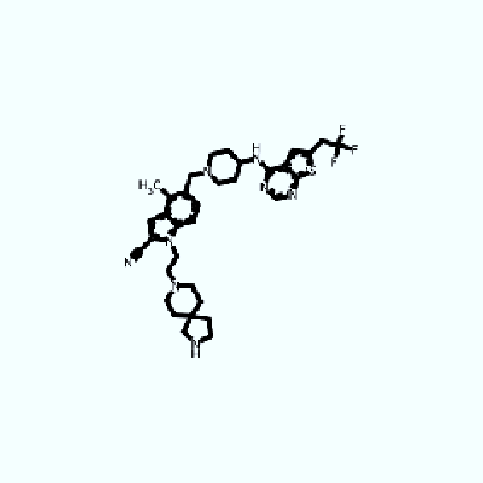 Cc1c(CN2CCC(Nc3ncnc4sc(CC(F)(F)F)cc34)CC2)ccc2c1cc(C#N)n2CCN1CCC2(CCNC2)CC1